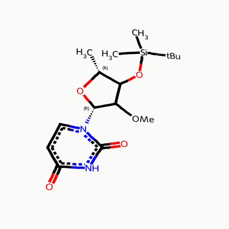 COC1C(O[Si](C)(C)C(C)(C)C)[C@@H](C)O[C@H]1n1ccc(=O)[nH]c1=O